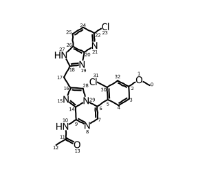 COc1ccc(-c2cnc(NC(C)=O)c3nc(Cc4nc5nc(Cl)ccc5[nH]4)cn23)c(Cl)c1